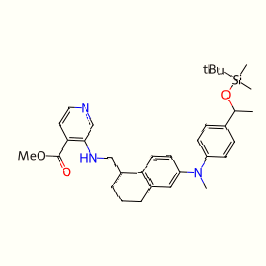 COC(=O)c1ccncc1NCC1CCCc2cc(N(C)c3ccc(C(C)O[Si](C)(C)C(C)(C)C)cc3)ccc21